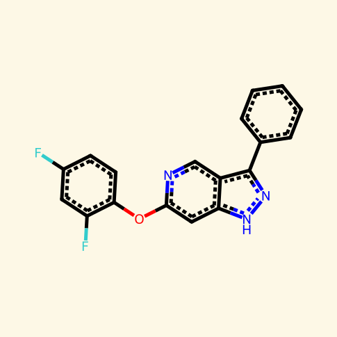 Fc1ccc(Oc2cc3[nH]nc(-c4ccccc4)c3cn2)c(F)c1